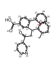 Cc1ccccc1C(CC(=O)c1ccnnc1)c1cc(C(=O)O)ccc1-c1ccccc1